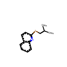 COC(CSc1ccc2ccccc2n1)OC